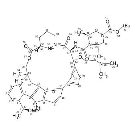 CCn1c(-c2cccnc2[C@H](C)OC)c2c3cc(ccc31)-c1csc(n1)[C@@H](OCCN(C)C)[C@H](NC(=O)N1[C@@H](C)CN(C(=O)OC(C)(C)C)C[C@@H]1C)C(=O)N1CCC[C@H](N1)C(=O)OCC(C)(C)C2